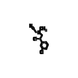 CN(CC#N)CC(Cl)c1cccc(Cl)c1